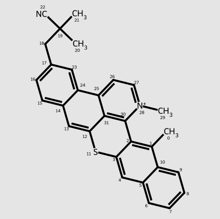 Cc1c2c(cc3ccccc13)Sc1cc3ccc(CC(C)(C)C#N)cc3c3cc[n+](C)c-2c13